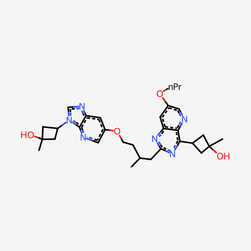 CCCOc1cnc2c(C3CC(C)(O)C3)nc(CC(C)CCOc3cnc4c(c3)ncn4C3CC(C)(O)C3)nc2c1